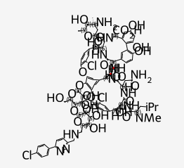 CN[C@H](CC(C)C)C(=O)N[C@H]1C(=O)N[C@@H](CC(N)=O)C(=O)N[C@H]2C(=O)N[C@H]3C(=O)N[C@H](C(=O)N[C@@H](C(=O)O)c4cc(O)cc(O)c4-c4cc3ccc4O)[C@H](O[C@H]3C[C@](C)(N)[C@@H](O)[C@H](C)O3)c3ccc(c(Cl)c3)Oc3cc2cc(c3O[C@@H]2O[C@H](CO)[C@@H](O[C@@H]3O[C@H](CNCc4ccc(-c5ccc(Cl)cc5)nn4)[C@H](O)[C@H](O)[C@H]3O)[C@H](O)[C@H]2O)Oc2ccc(cc2Cl)[C@H]1O